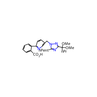 CCCCCc1nc(C(CCC)(OC)OC)nn1Cc1ccc(-c2ccccc2C(=O)O)nc1